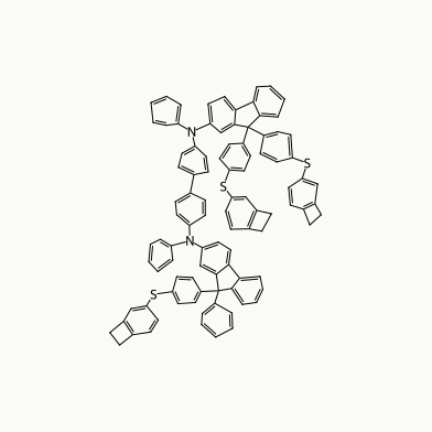 c1ccc(N(c2ccc(-c3ccc(N(c4ccccc4)c4ccc5c(c4)C(c4ccc(Sc6ccc7c(c6)CC7)cc4)(c4ccc(Sc6ccc7c(c6)CC7)cc4)c4ccccc4-5)cc3)cc2)c2ccc3c(c2)C(c2ccccc2)(c2ccc(Sc4ccc5c(c4)CC5)cc2)c2ccccc2-3)cc1